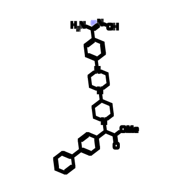 COC(=O)C(c1ccc(-c2ccccc2)cc1)N1CCC(N2CCN(c3ccc(/C(N)=N\O)cc3)CC2)CC1